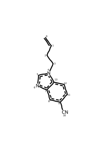 C=CCCn1cnc2cc(C#N)ccc21